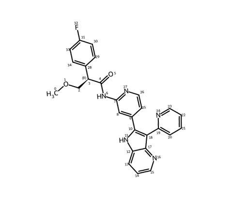 COC[C@H](C(=O)Nc1cc(-c2[nH]c3cccnc3c2-c2ccccn2)ccn1)c1ccc(F)cc1